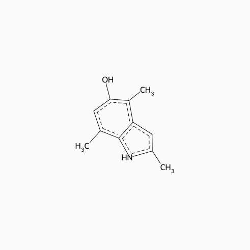 Cc1cc2c(C)c(O)cc(C)c2[nH]1